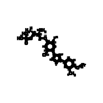 Cc1cc(-c2nnc(-c3cc(F)c(OC[C@@H](N)[C@@H](C)OP(=O)(O)O)cc3Cl)s2)ccc1OC(C)C